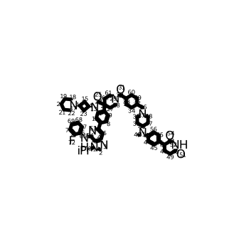 CC(C)n1cnc2cc(-c3ccc4c(c3)N([C@H]3C[C@@H](N5CCCCC5)C3)C(=O)C43CCN(C(=O)C4CCC(CN5CCC(N(C)c6ccc(C7CCC(=O)NC7=O)cc6)CC5)CC4)CC3)nc(Nc3ccccc3F)c21